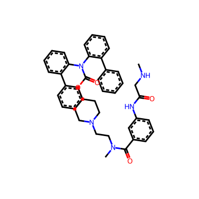 CNCC(=O)Nc1cccc(C(=O)N(C)CCN2CCC(OC(=O)N(c3ccccc3-c3ccccc3)c3ccccc3-c3ccccc3)CC2)c1